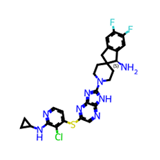 N[C@@H]1c2cc(F)c(F)cc2CC12CCN(c1nc3nc(Sc4ccnc(NC5CC5)c4Cl)cnc3[nH]1)CC2